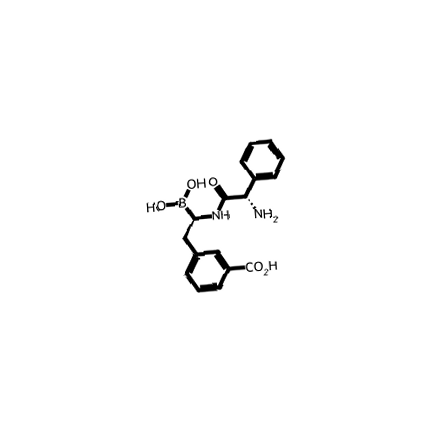 N[C@H](C(=O)N[C@@H](Cc1cccc(C(=O)O)c1)B(O)O)c1ccccc1